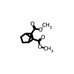 COC(=O)C1=C(C(=O)OC)C2CCC1C2